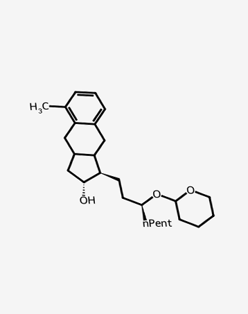 CCCCC[C@@H](CC[C@@H]1C2Cc3cccc(C)c3CC2C[C@H]1O)OC1CCCCO1